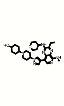 CCc1nc2c(NC)ncc(-c3cnn(C4CCN(C5CCC(O)CC5)CC4)c3)c2nc1NC1CCOCC1